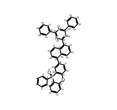 O=P1(c2ccccc2)c2ccccc2Oc2ccc(-c3cccc4c(-c5nc(-c6ccccc6)nc(-c6ccccc6)n5)cccc34)cc21